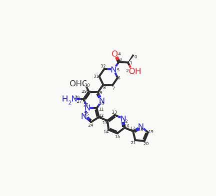 C[C@@H](O)C(=O)N1CCC(c2nc3c(-c4ccc(C5=NC=CC5)nc4)cnn3c(N)c2C=O)CC1